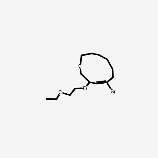 CCOCCOC1C=C(Br)CCCCCCCC1